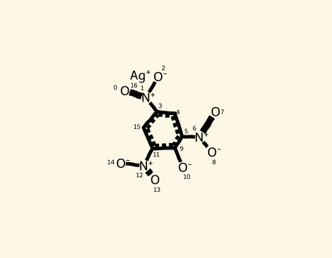 O=[N+]([O-])c1cc([N+](=O)[O-])c([O-])c([N+](=O)[O-])c1.[Ag+]